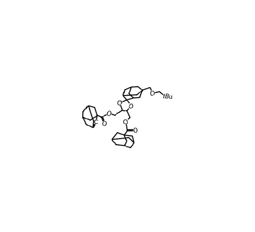 CC(C)(C)COCC12CC3CC(C1)C1(OC(COC(=O)C45CC6CC(CC(C6)C4)C5)C(COC(=O)C45CC6CC(CC(C6)C4)C5)O1)C(C3)C2